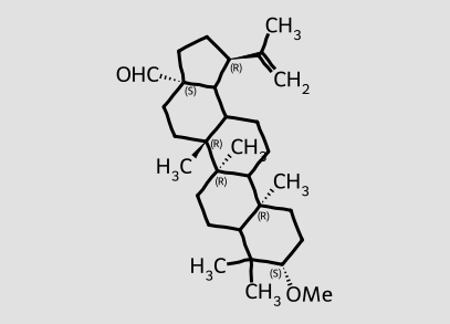 C=C(C)[C@@H]1CC[C@]2(C=O)CC[C@]3(C)C(CCC4[C@@]5(C)CC[C@H](OC)C(C)(C)C5CC[C@]43C)C12